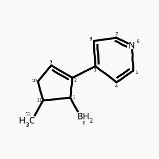 BC1C(c2ccncc2)=CCC1C